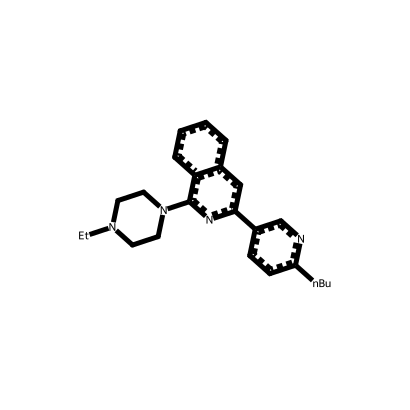 CCCCc1ccc(-c2cc3ccccc3c(N3CCN(CC)CC3)n2)cn1